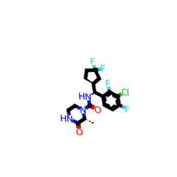 C[C@@H]1C(=O)NCCN1C(=O)N[C@@H](c1ccc(F)c(Cl)c1F)[C@H]1CCC(F)(F)C1